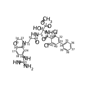 COC(=O)C(O)(CNC(=O)CCN1CCOc2ccc(NC(=N)N)cc21)NC(=O)c1c(Cl)cc(-c2ccccc2)cc1Cl